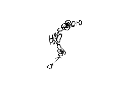 CC(C)(c1ccccc1)c1ccc(S(=O)(=O)Oc2ccc(NC(=O)Nc3ccc(OS(=O)(=O)c4ccc(C(C)(C)c5ccccc5)cc4)cc3)cc2)cc1